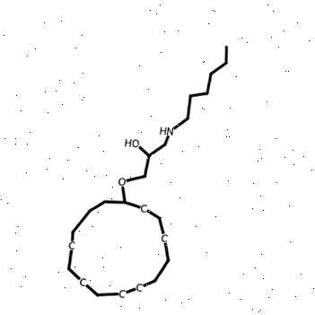 CCCCCCNCC(O)COC1CCCCCCCCCCCCCC1